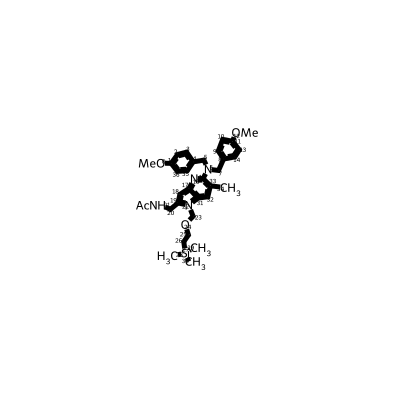 COc1ccc(CN(Cc2ccc(OC)cc2)c2nc3cc(CNC(C)=O)n(COCC[Si](C)(C)C)c3cc2C)cc1